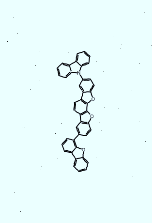 c1ccc2c(c1)oc1c(-c3ccc4oc5c(ccc6c7cc(-n8c9ccccc9c9ccccc98)ccc7oc65)c4c3)cccc12